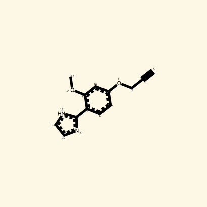 C#CCOc1ccc(-c2ncc[nH]2)c(OC)c1